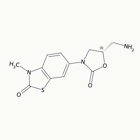 Cn1c(=O)sc2cc(N3C[C@H](CN)OC3=O)ccc21